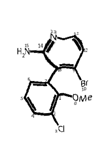 COc1c(Cl)cccc1-c1c(Br)ccnc1N